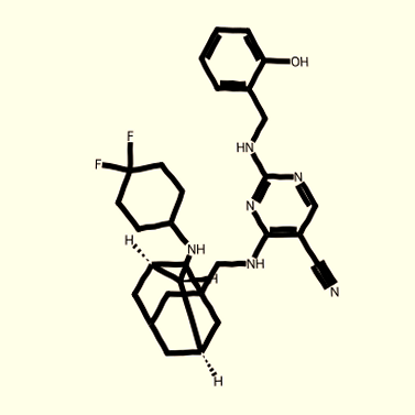 N#Cc1cnc(NCc2ccccc2O)nc1NCC12CC3C[C@H](C1)[C@@H](NC1CCC(F)(F)CC1)[C@@H](C3)C2